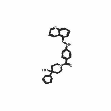 O=C(c1ccc(NSc2cccc3ncccc23)cc1)N1CCC(O)(c2ccccc2)CC1